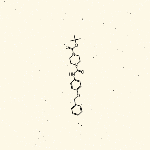 CC(C)(C)OC(=O)N1CCN(C(=O)Nc2ccc(OCc3ccccc3)cc2)CC1